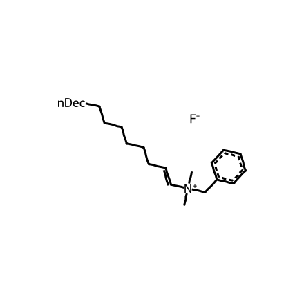 CCCCCCCCCCCCCCCCC=C[N+](C)(C)Cc1ccccc1.[F-]